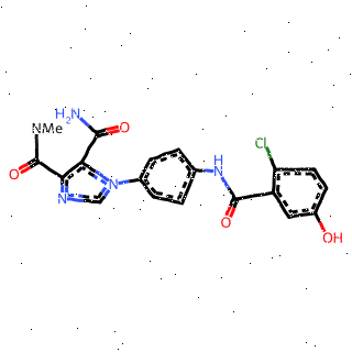 CNC(=O)c1ncn(-c2ccc(NC(=O)c3cc(O)ccc3Cl)cc2)c1C(N)=O